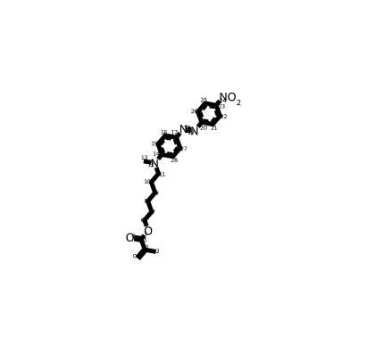 C=C(C)C(=O)OCCCCCCN(C)c1ccc(N=Nc2ccc([N+](=O)[O-])cc2)cc1